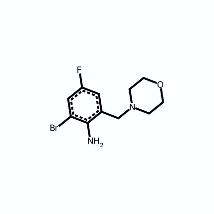 Nc1c(Br)cc(F)cc1CN1CCOCC1